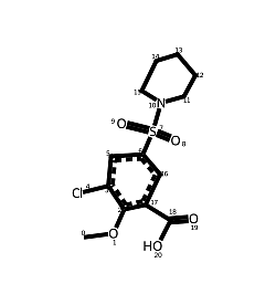 COc1c(Cl)cc(S(=O)(=O)N2CCCCC2)cc1C(=O)O